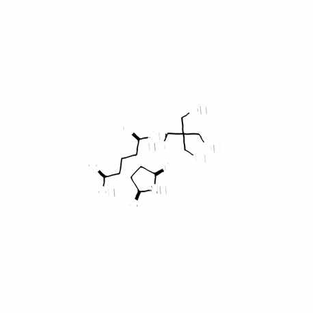 O=C(O)CCCC(=O)O.O=C1CCC(=O)N1.OCC(CO)(CO)CO